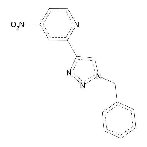 O=[N+]([O-])c1ccnc(-c2cn(Cc3ccccc3)nn2)c1